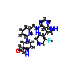 Fc1cnccc1-c1c[nH]c2ncnc(NCc3cccc(N4CCNC5(COC5)C4)n3)c12